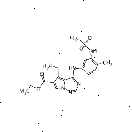 CCOC(=O)c1cn2ncnc(Nc3ccc(C)c(NS(C)(=O)=O)c3)c2c1CC